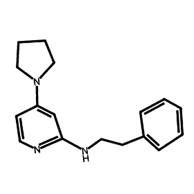 c1ccc(CCNc2cc(N3CCCC3)ccn2)cc1